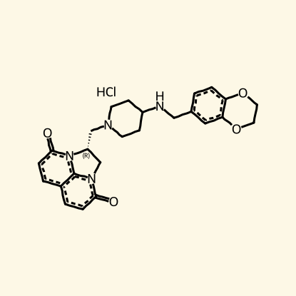 Cl.O=c1ccc2ccc(=O)n3c2n1C[C@H]3CN1CCC(NCc2ccc3c(c2)OCCO3)CC1